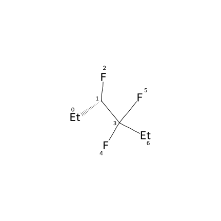 [CH2]C[C@H](F)C(F)(F)CC